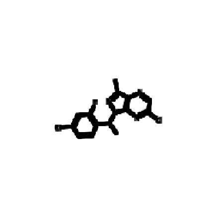 Cc1nn(C(C)c2ccc(Cl)cc2F)c2nc(Cl)cnc12